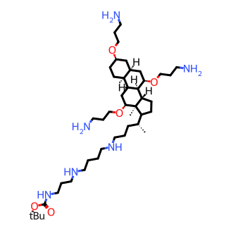 C[C@H](CCCNCCCCNCCCNC(=O)OC(C)(C)C)C1CC[C@H]2[C@@H]3[C@H](OCCCN)C[C@@H]4C[C@H](OCCCN)CC[C@]4(C)[C@H]3C[C@H](OCCCN)[C@]12C